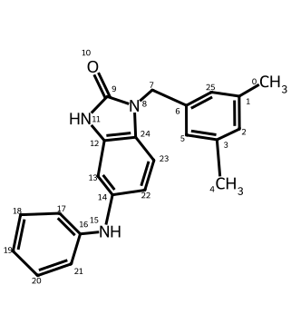 Cc1cc(C)cc(Cn2c(=O)[nH]c3cc(Nc4ccccc4)ccc32)c1